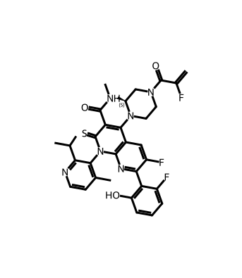 C=C(F)C(=O)N1CCN(c2c(C(=O)NC)c(=S)n(-c3c(C)ccnc3C(C)C)c3nc(-c4c(O)cccc4F)c(F)cc23)[C@@H](C)C1